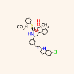 CC(C)(O)c1ccccc1CCC(NC(=O)CSc1ccccc1C(=O)O)c1cccc(/C=C/c2ccc3ccc(Cl)cc3n2)c1